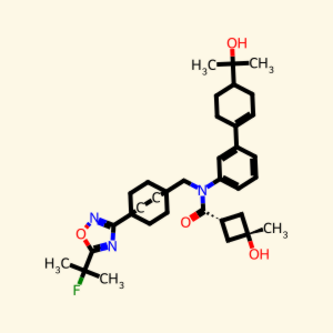 CC(C)(F)c1nc(C23CCC(CN(c4cccc(C5=CCC(C(C)(C)O)CC5)c4)C(=O)[C@H]4C[C@@](C)(O)C4)(CC2)CC3)no1